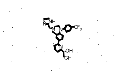 OC[C@@H](O)c1cccc(-c2ccc3c(c2)CN(Cc2ncc[nH]2)CCN3c2ccc(C(F)(F)F)cc2)n1